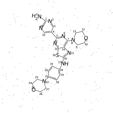 Nc1ncc(-c2nc(N3CCOCC3)c3nc(Nc4ccc(N5CCOCC5)cc4)sc3n2)cn1